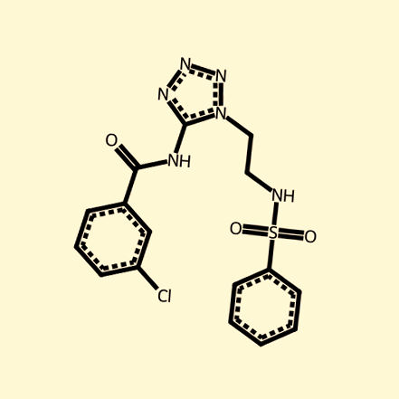 O=C(Nc1nnnn1CCNS(=O)(=O)c1ccccc1)c1cccc(Cl)c1